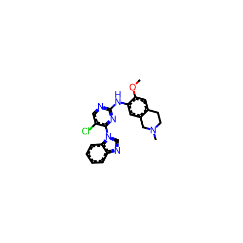 COc1cc2c(cc1Nc1ncc(Cl)c(-n3cnc4ccccc43)n1)CN(C)CC2